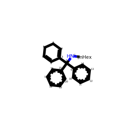 CCCCCCNC(C1=CCCC=C1)(c1ccccc1)c1ccccc1